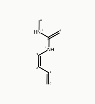 C=C/C=C\NC(=C)NC